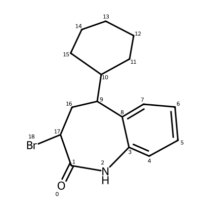 O=C1Nc2ccccc2C(C2CCCCC2)CC1Br